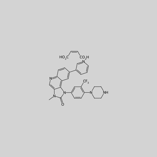 Cn1c(=O)n(-c2ccc(N3CCNCC3)c(C(F)(F)F)c2)c2c3cc(-c4cccnc4)ccc3ncc21.O=C(O)/C=C\C(=O)O